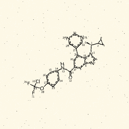 C[C@@H](C1CC1)n1cnc2cc(C(=O)Nc3ccc(OC(F)(F)Cl)cc3)cc(-c3cncnc3)c21